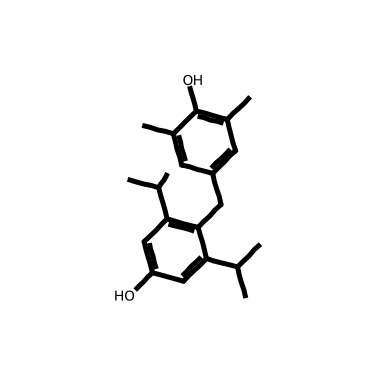 Cc1cc(Cc2c(C(C)C)cc(O)cc2C(C)C)cc(C)c1O